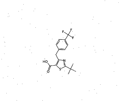 CC(C)(C)c1nc(Cc2ccc(C(F)(F)F)cc2)c(C(=O)O)s1